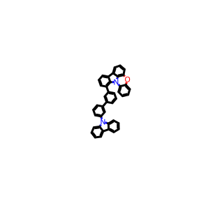 c1cc(-c2cccc(-n3c4ccccc4c4ccccc43)c2)cc(-c2cccc3c4cccc5c4n(c23)-c2ccccc2O5)c1